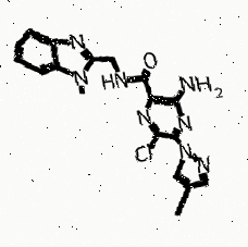 Cc1cnn(-c2nc(N)c(C(=O)NCc3nc4ccccc4n3C)nc2Cl)c1